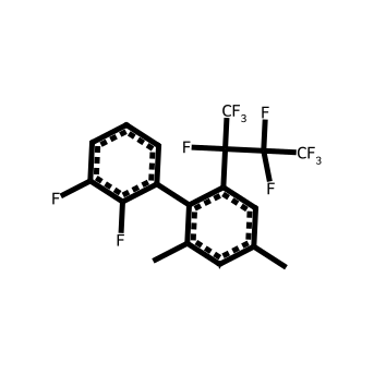 Cc1[c]c(C)c(-c2cccc(F)c2F)c(C(F)(C(F)(F)F)C(F)(F)C(F)(F)F)c1